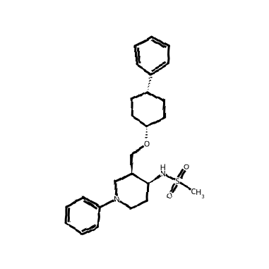 CS(=O)(=O)N[C@H]1CCN(c2ccccc2)C[C@H]1CO[C@H]1CC[C@@H](c2ccccc2)CC1